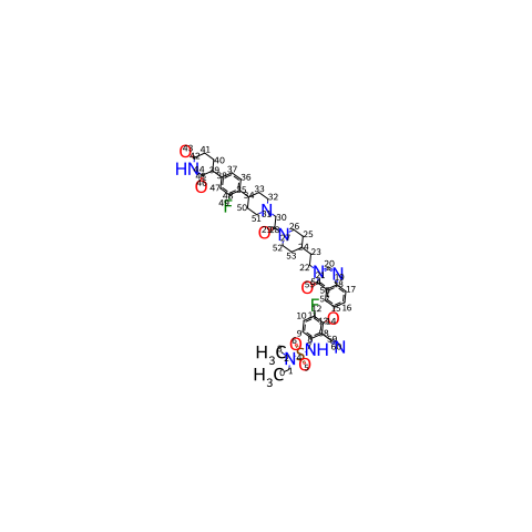 CCN(C)S(=O)(=O)Nc1ccc(F)c(Oc2ccc3ncn(CCC4CCN(C(=O)CN5CCC(c6ccc(C7CCC(=O)NC7=O)cc6F)CC5)CC4)c(=O)c3c2)c1C#N